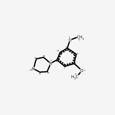 COc1cc(OC)cc(N2CC[N]CC2)c1